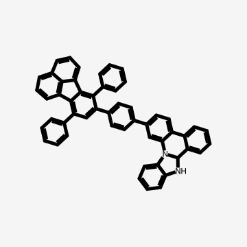 c1ccc(-c2cc(-c3ccc(-c4ccc5c(c4)N4c6ccccc6NC4c4ccccc4-5)cc3)c(-c3ccccc3)c3c2-c2cccc4cccc-3c24)cc1